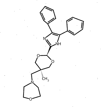 C[C@]1(CN2CCOCC2)CO[C@@H](c2nc(-c3ccccc3)c(-c3ccccc3)[nH]2)OC1